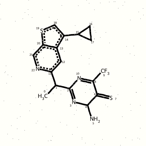 CC(C1=NC(N)C(=S)C(C(F)(F)F)=N1)c1cc2c(C3CC3)csc2cn1